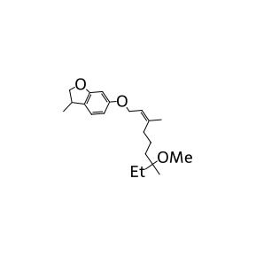 CCC(C)(CCCC(C)=CCOc1ccc2c(c1)OCC2C)OC